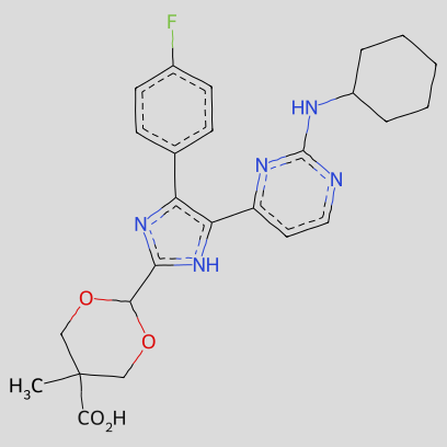 CC1(C(=O)O)COC(c2nc(-c3ccc(F)cc3)c(-c3ccnc(NC4CCCCC4)n3)[nH]2)OC1